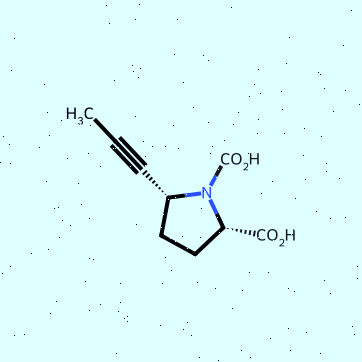 CC#C[C@H]1CC[C@@H](C(=O)O)N1C(=O)O